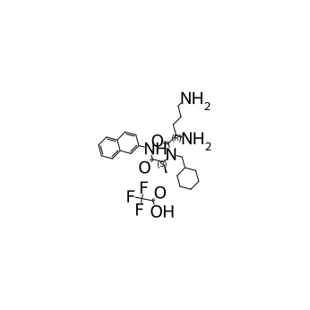 C[C@@H](C(=O)Nc1ccc2ccccc2c1)N(CC1CCCCC1)C(=O)[C@H](N)CCCN.O=C(O)C(F)(F)F